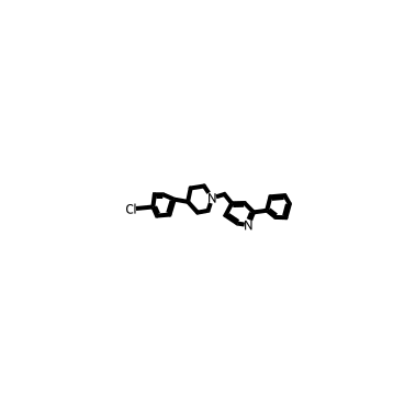 Clc1ccc(C2CCN(Cc3ccnc(-c4ccccc4)c3)CC2)cc1